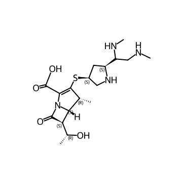 CNCC(NC)[C@@H]1C[C@H](SC2=C(C(=O)O)N3C(=O)[C@H]([C@@H](C)O)[C@H]3[C@H]2C)CN1